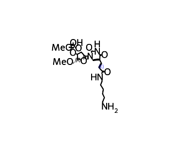 COC[C@H]1O[C@@H](n2cc(/C=C/C(=O)NCCCCCCN)c(=O)[nH]c2=O)CC1OP(=O)(O)OC